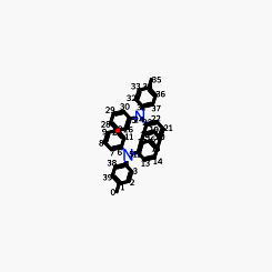 Cc1ccc(N(c2ccccc2)c2ccc3cc2c2cc3ccc2N(c2ccccc2)c2ccc(C)cc2)cc1